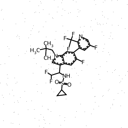 CC(C)(C)Cn1cc(C(NS(=O)(=O)C2CC2)C(F)F)c2cc(F)c(-c3cc(F)cnc3C(F)(F)F)cc21